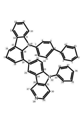 c1ccc(-c2ccc(-n3c4ccccc4c4cccc(-c5ccc6c(c5)c5cnccc5n6-c5ccccc5)c43)cc2)cc1